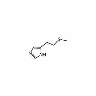 CSCCc1cnc[nH]1